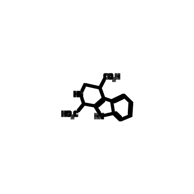 O=C(O)C1CNC(C(=O)O)c2[nH]c3ccccc3c21